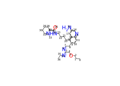 CCCOCC(/N=C\Cc1ccc2ncc(N)cc2c1CCCCNC(=O)[C@@H]1CCCCN1C)=N/CC